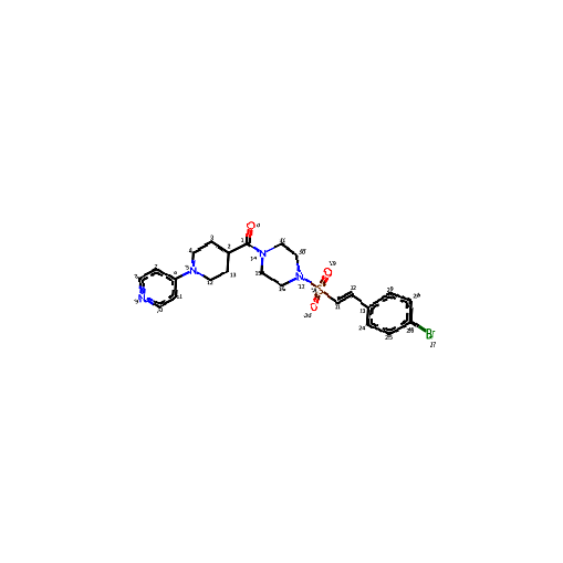 O=C(C1CCN(c2ccncc2)CC1)N1CCN(S(=O)(=O)C=Cc2ccc(Br)cc2)CC1